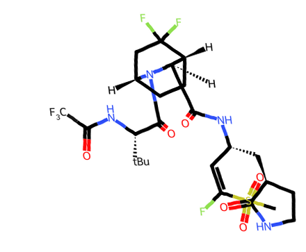 CC(C)(C)[C@H](NC(=O)C(F)(F)F)C(=O)N1[C@@H]2CC[C@H]([C@H]1C(=O)N[C@@H](/C=C(/F)S(C)(=O)=O)C[C@H]1CCNC1=O)C(F)(F)C2